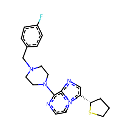 Fc1ccc(CN2CCN(c3nccn4c([C@@H]5CCCS5)cnc34)CC2)cc1